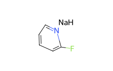 Fc1ccccn1.[NaH]